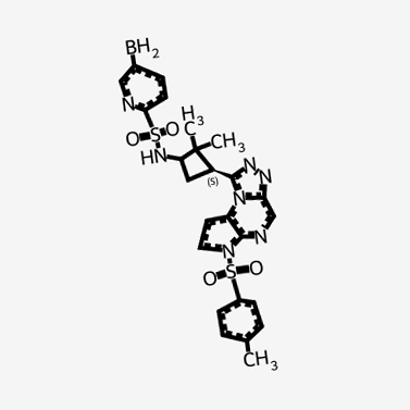 Bc1ccc(S(=O)(=O)NC2C[C@H](c3nnc4cnc5c(ccn5S(=O)(=O)c5ccc(C)cc5)n34)C2(C)C)nc1